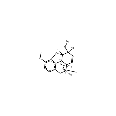 [2H]OC1([2H])C=C[C@@]2([2H])[C@@]3([2H])Cc4ccc(OC)c5c4[C@@]2(CCN3C)C1([2H])O5